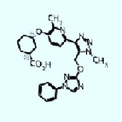 Cc1nc(-c2nnn(C)c2COc2ncn(-c3ccccc3)n2)ccc1O[C@H]1CCC[C@H](C(=O)O)C1